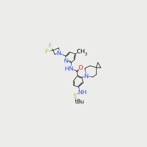 Cc1cc(NC(=O)c2ccc(NSC(C)(C)C)cc2N2CCC3(CC2)CC3)nc(N2CC(F)(F)C2)c1